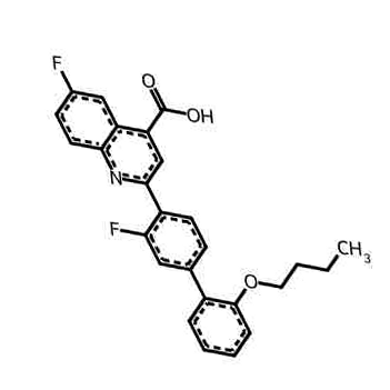 CCCCOc1ccccc1-c1ccc(-c2cc(C(=O)O)c3cc(F)ccc3n2)c(F)c1